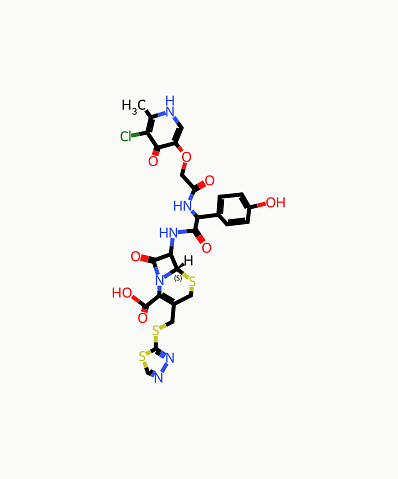 Cc1[nH]cc(OCC(=O)NC(C(=O)NC2C(=O)N3C(C(=O)O)=C(CSc4nncs4)CS[C@@H]23)c2ccc(O)cc2)c(=O)c1Cl